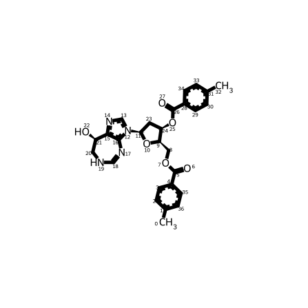 Cc1ccc(C(=O)OC[C@H]2O[C@@H](n3cnc4c3N=CNC[C@H]4O)C[C@H]2OC(=O)c2ccc(C)cc2)cc1